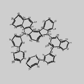 c1ccc(-c2cccc(-c3nc(-n4c5ccccc5c5c6c7ccc8ccccc8c7n(-c7cccc(-c8ccccc8)c7)c6ccc54)nc4ccccc34)c2)cc1